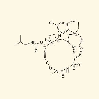 CC(C)CNC(=O)O[C@H]1C=CCOC(C)(C)C(=O)NS(=O)(=O)c2ccc3c(c2)N(C[C@@H]2CC[C@H]21)C[C@@]1(CCCc2cc(Cl)ccc21)CO3